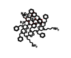 CC(=O)N(CC(=O)N(CC(=O)N(CCCCN)CC(=O)N(CC(=O)N(CC(=O)N(CCCCN)CC(=O)N(CC(=O)N(CC(=O)N(CCCCN)CC(=O)N(CC(=O)N(CC(N)=O)[C@@H](C)c1ccccc1)Cc1ccccc1)Cc1ccccc1)Cc1ccccc1)Cc1ccccc1)Cc1ccccc1)Cc1ccccc1)Cc1ccccc1